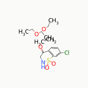 C=C.CCOC(C)OCC.O=C1CNS(=O)(=O)c2cc(Cl)ccc21